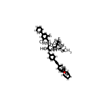 COC(=O)NC(C(=O)N[C@@H](Cc1ccc(C#Cc2ccc(N3CC4CCC(C3)N4C3COC3)nc2)cc1)[C@@H](O)CNCc1c(F)cc(-c2ccccn2)cc1Cl)C(C)(C)C(F)(F)F